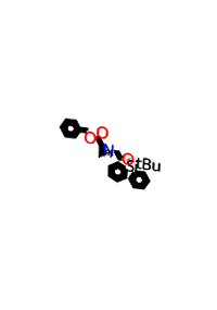 CC(C)(C)[Si](OCC[N@]1CC1C(=O)OCc1ccccc1)(c1ccccc1)c1ccccc1